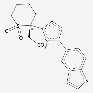 O=C(O)C[C@]1(c2ccc(-c3ccc4sccc4c3)s2)CCCCS1(=O)=O